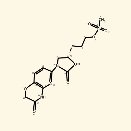 CS(=O)(=O)OCCC[C@H]1CN(c2ccc3c(n2)NC(=O)CO3)C(=O)O1